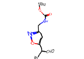 CC(C)C(C=O)c1cc(CNC(=O)OC(C)(C)C)no1